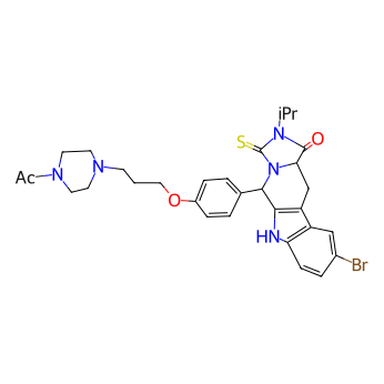 CC(=O)N1CCN(CCCOc2ccc(C3c4[nH]c5ccc(Br)cc5c4CC4C(=O)N(C(C)C)C(=S)N43)cc2)CC1